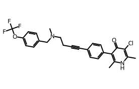 Cc1[nH]c(C)c(-c2ccc(C#CCCN(C)Cc3ccc(OC(F)(F)F)cc3)cc2)c(=O)c1Cl